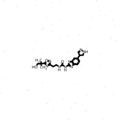 CC(C)(CO)c1nc(CCNC(=O)Nc2nc3ccc(C4C=NNC4)cc3s2)no1